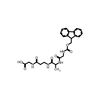 CC(NC(=O)CNC(=O)OCC1c2ccccc2-c2ccccc21)C(=O)NCCC(=O)NCC(=O)O